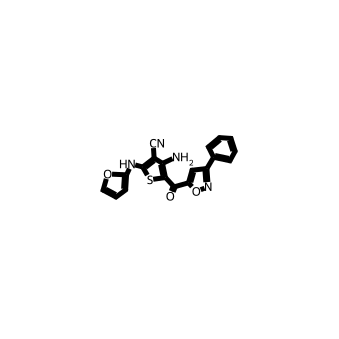 N#Cc1c(Nc2ccco2)sc(C(=O)c2cc(-c3ccccc3)no2)c1N